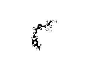 C[C@H](NC(=O)CO)c1ccc(C(=O)CSc2nc3cnc(C(F)(F)F)cc3o2)s1